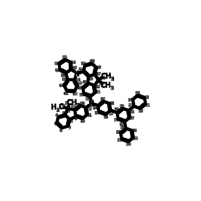 CC1(C)c2ccccc2-c2ccc(N(c3ccc(-c4cc(-c5ccccc5)cc(C5C=CC=CC5)c4)cc3)c3ccc4c(c3)C(C)(C)c3cccc(-n5c6ccccc6c6ccccc65)c3-4)cc21